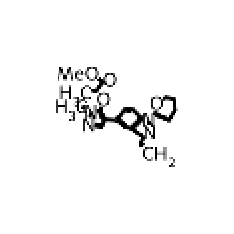 C=Cc1nn(C2CCCCO2)c2ccc(-c3cnn(C)c3OC(C)C(=O)OC)cc12